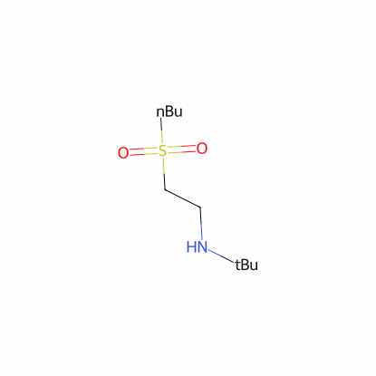 CCCCS(=O)(=O)CCNC(C)(C)C